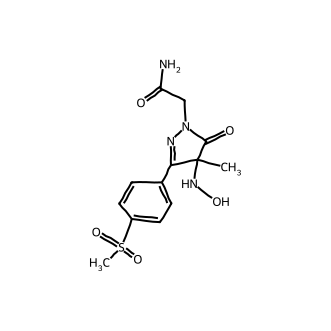 CC1(NO)C(=O)N(CC(N)=O)N=C1c1ccc(S(C)(=O)=O)cc1